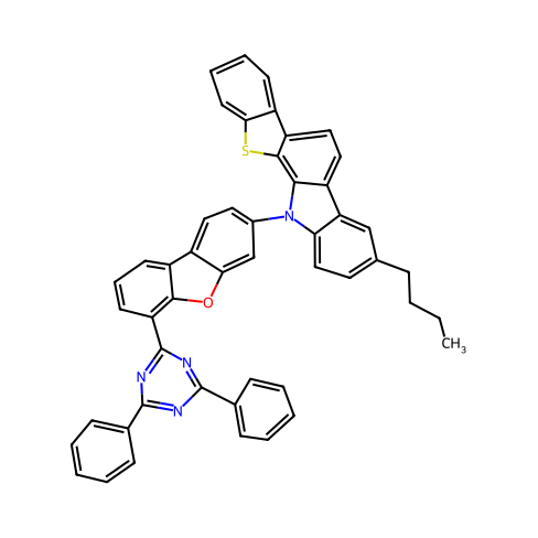 CCCCc1ccc2c(c1)c1ccc3c4ccccc4sc3c1n2-c1ccc2c(c1)oc1c(-c3nc(-c4ccccc4)nc(-c4ccccc4)n3)cccc12